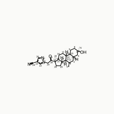 C[C@@H]1C[C@H]2C[C@](C)(O)CC[C@]2(C)[C@H]2CC[C@]3(C)[C@H](C(=O)Cn4cc(C#N)cn4)CC[C@H]3[C@H]12